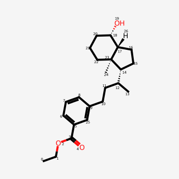 CCOC(=O)c1cccc(CCC(C)[C@H]2CC[C@H]3[C@@H](O)CCC[C@]23C)c1